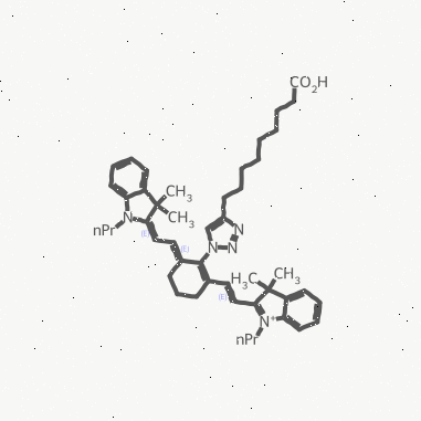 CCCN1/C(=C/C=C2\CCCC(/C=C/C3=[N+](CCC)c4ccccc4C3(C)C)=C2n2cc(CCCCCCCCC(=O)O)nn2)C(C)(C)c2ccccc21